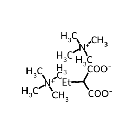 CCC(C(=O)[O-])C(=O)[O-].C[N+](C)(C)C.C[N+](C)(C)C